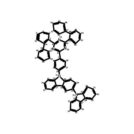 c1ccc(-c2nc(-c3ccc(-n4c5ccccc5c5cc(-n6c7ccccc7c7ccccc76)ccc54)cc3)nc(-c3ccccc3-c3ccccc3)n2)c(-c2ccccc2)c#1